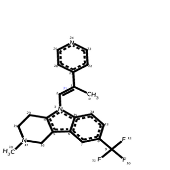 C/C(=C\n1c2c(c3cc(C(F)(F)F)ccc31)CN(C)CC2)c1ccncc1